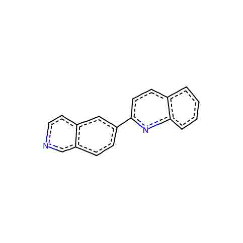 c1ccc2nc(-c3ccc4cnccc4c3)ccc2c1